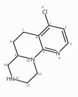 Clc1ccnc2c1CCC1CNCCN21